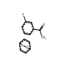 CC(=O)c1cccc(F)c1.c1cc2ccc1CO2